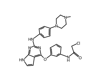 CN1CCN(c2ccc(Nc3nc(Oc4cccc(NC(=O)CCl)c4)c4cc[nH]c4n3)cc2)CC1